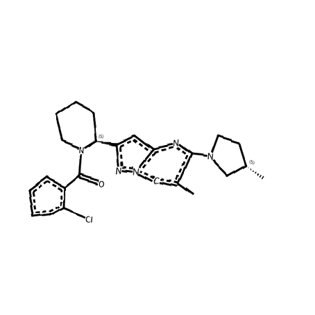 Cc1cn2nc([C@@H]3CCCCN3C(=O)c3ccccc3Cl)cc2nc1N1CC[C@H](C)C1